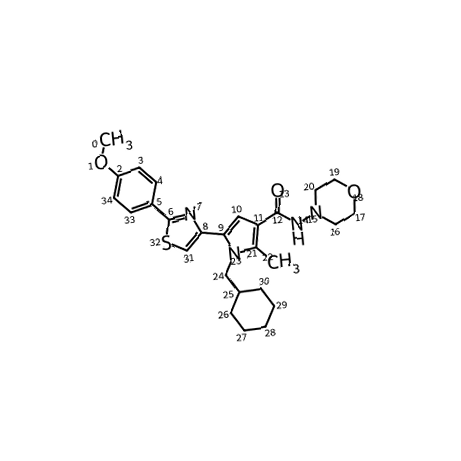 COc1ccc(-c2nc(-c3cc(C(=O)NN4CCOCC4)c(C)n3CC3CCCCC3)cs2)cc1